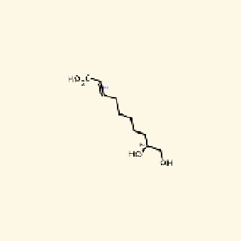 O=C(O)/C=C/CCCCC[C@H](O)CO